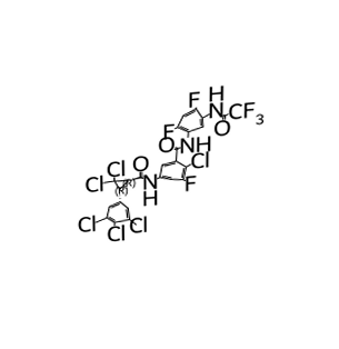 O=C(Nc1cc(NC(=O)C(F)(F)F)c(F)cc1F)c1cc(NC(=O)[C@H]2[C@H](c3cc(Cl)c(Cl)c(Cl)c3)C2(Cl)Cl)cc(F)c1Cl